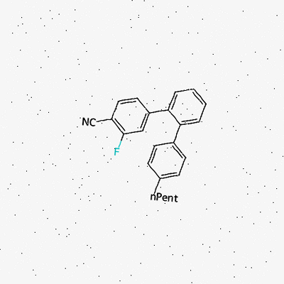 CCCCCc1ccc(-c2ccccc2-c2ccc(C#N)c(F)c2)cc1